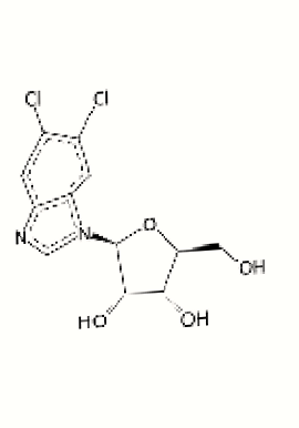 OC[C@@H]1O[C@H](n2cnc3cc(Cl)c(Cl)cc32)[C@@H](O)[C@H]1O